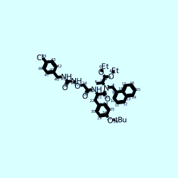 CCOC(OCC)C(C)N(Cc1cccc2ccccc12)C(=O)C(Cc1ccc(OC(C)(C)C)cc1)NC(=O)CONC(=O)NCc1ccc(Cl)cc1